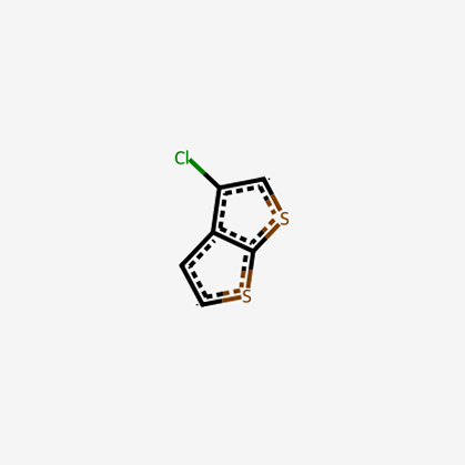 Clc1[c]sc2s[c]cc12